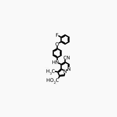 Cc1c(C(=O)O)cn2ncc(C#N)c(Nc3ccc(Oc4ccccc4F)cc3)c12